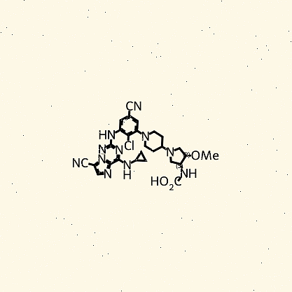 CO[C@@H]1CN(C2CCN(c3cc(C#N)cc(Nc4nc(NC5CC5)c5ncc(C#N)n5n4)c3Cl)CC2)C[C@@H]1NC(=O)O